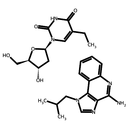 CC(C)Cn1cnc2c(N)nc3ccccc3c21.CCc1cn([C@H]2C[C@H](O)[C@@H](CO)O2)c(=O)[nH]c1=O